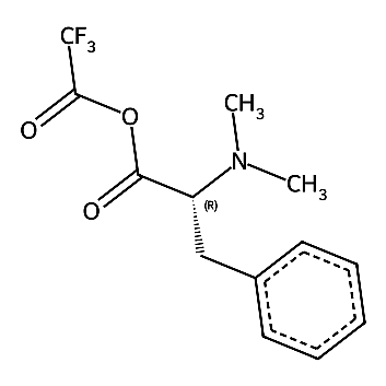 CN(C)[C@H](Cc1ccccc1)C(=O)OC(=O)C(F)(F)F